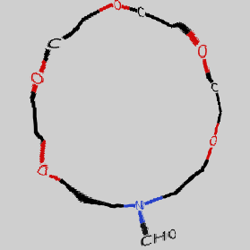 O=CN1CCOCCOCCOCCOCCOCC1